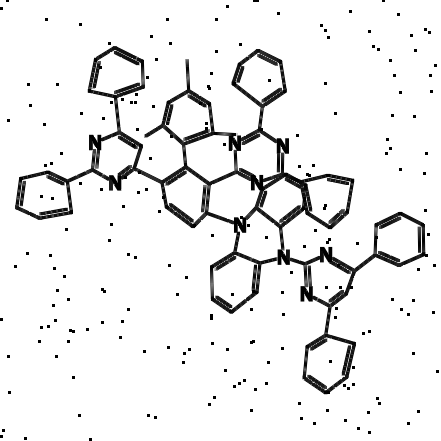 Cc1cc(C)c(-c2c(-c3cc(-c4ccccc4)nc(-c4ccccc4)n3)ccc(N3c4ccccc4N(c4nc(-c5ccccc5)cc(-c5ccccc5)n4)c4ccccc43)c2-c2nc(-c3ccccc3)nc(-c3ccccc3)n2)c(C)c1